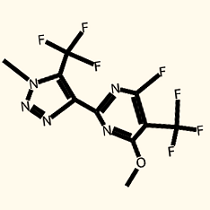 COc1nc(-c2nnn(C)c2C(F)(F)F)nc(F)c1C(F)(F)F